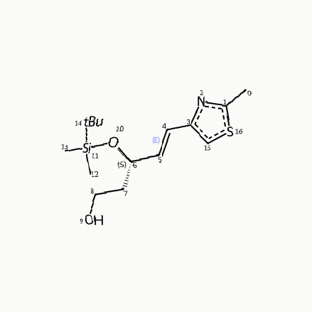 Cc1nc(/C=C/[C@H](CCO)O[Si](C)(C)C(C)(C)C)cs1